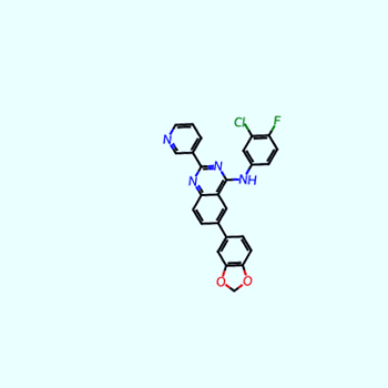 Fc1ccc(Nc2nc(-c3cccnc3)nc3ccc(-c4ccc5c(c4)OCO5)cc23)cc1Cl